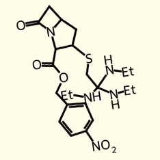 CCNC(CSC1CC2CC(=O)N2C1C(=O)OCc1ccc([N+](=O)[O-])cc1)(NCC)NCC